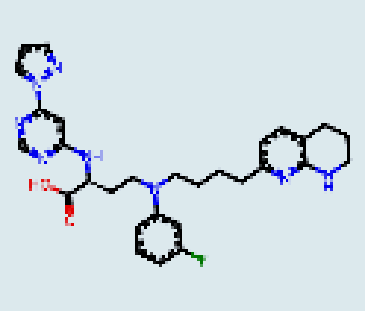 O=C(O)[C@H](CCN(CCCCc1ccc2c(n1)NCCC2)c1cccc(F)c1)Nc1cc(-n2cccn2)ncn1